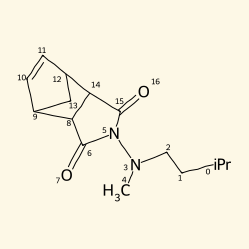 CC(C)CCN(C)N1C(=O)C2C3C=CC(C3)C2C1=O